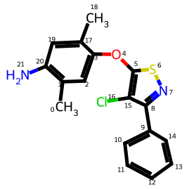 Cc1cc(Oc2snc(-c3ccccc3)c2Cl)c(C)cc1N